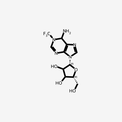 NC1c2ncn([C@@H]3O[C@H](CO)C(O)C3O)c2N=CN1C(F)(F)F